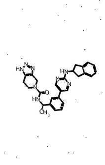 C[C@@H](NC(=O)N1CCc2[nH]nnc2C1)c1cccc(-c2cnc(NC3Cc4ccccc4C3)nc2)c1